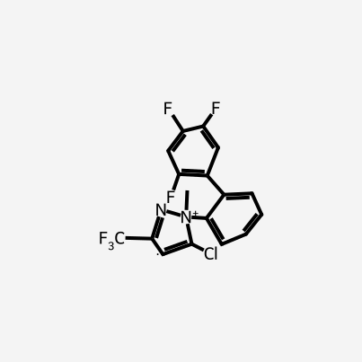 C[N+]1(c2ccccc2-c2cc(F)c(F)cc2F)N=C(C(F)(F)F)[C]=C1Cl